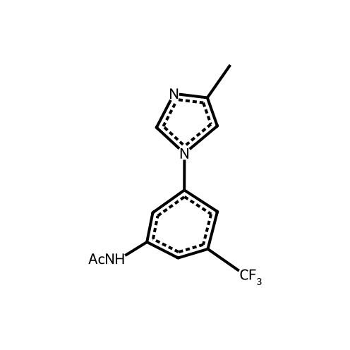 CC(=O)Nc1cc(-n2cnc(C)c2)cc(C(F)(F)F)c1